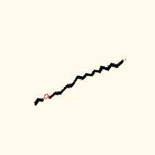 [CH2]CCCCCCCCCCCCCCCOCC=C